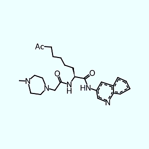 CC(=O)CCCCC[C@H](NC(=O)CN1CCN(C)CC1)C(=O)Nc1cnc2ccccc2c1